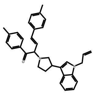 C=CCn1cc(C2CCN([C](C=Cc3ccc(C)cc3)C(=O)c3ccc(C)cc3)C2)c2ccccc21